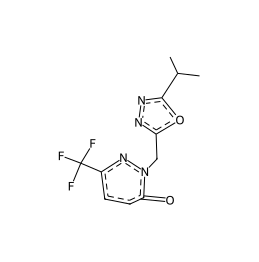 CC(C)c1nnc(Cn2nc(C(F)(F)F)ccc2=O)o1